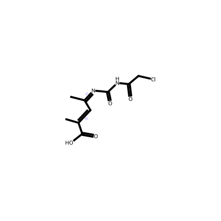 CC(/C=C(\C)C(=O)O)=N/C(=O)NC(=O)CCl